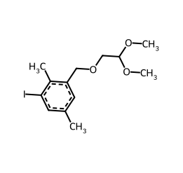 COC(COCc1cc(C)cc(I)c1C)OC